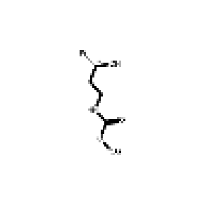 CC[C@H](O)CCNC(=O)OC(C)(C)C